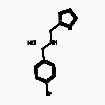 Brc1ccc(CNCc2cccs2)cc1.Cl